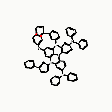 c1ccc(Oc2cc3c4c(c2)N(c2cccc(-c5ccccc5)c2)c2cc(N(c5ccccc5)c5ccccc5)ccc2B4c2ccc(N(c4ccccc4)c4ccccc4)cc2N3c2cccc(-c3ccccc3)c2)cc1